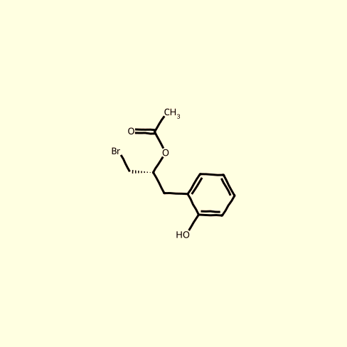 CC(=O)O[C@@H](CBr)Cc1ccccc1O